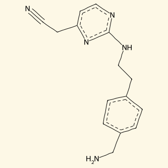 N#CCc1ccnc(NCCc2ccc(CN)cc2)n1